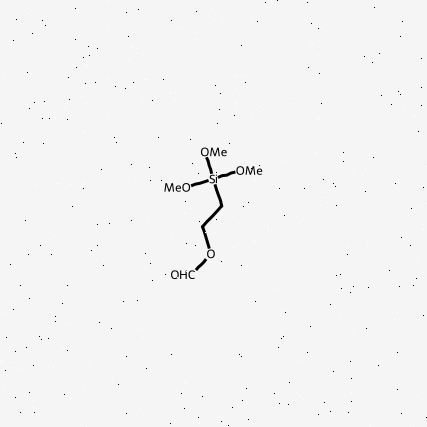 CO[Si](CCOC=O)(OC)OC